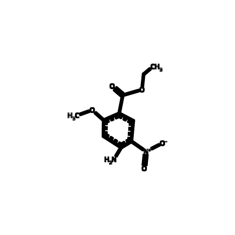 CCOC(=O)c1cc([N+](=O)[O-])c(N)cc1OC